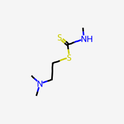 CNC(=S)SCCN(C)C